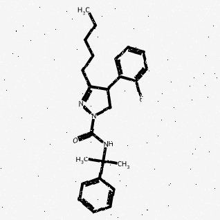 CCCCCC1=NN(C(=O)NC(C)(C)c2ccccc2)CC1c1ccccc1F